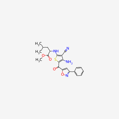 COC(=O)C(CC(C)C)Nc1sc(C(=O)c2cc(-c3ccccc3)no2)c(N)c1C#N